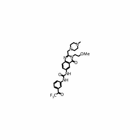 COCCn1c(CN2CCN(C)CC2)nc2ccc(NC(=O)Nc3cccc(C(=O)C(F)(F)F)c3)cc2c1=O